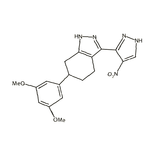 COc1cc(OC)cc(C2CCc3c(-c4n[nH]cc4[N+](=O)[O-])n[nH]c3C2)c1